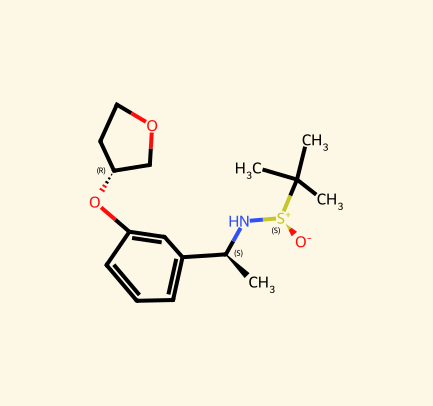 C[C@H](N[S@+]([O-])C(C)(C)C)c1cccc(O[C@@H]2CCOC2)c1